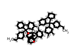 C=Cc1ccc(C2(c3cc(F)c(F)c(F)c3)c3ccccc3-c3ccc(N(c4ccc5c(c4)C(c4ccc(C=C)cc4)(c4cc(F)c(F)c(F)c4)c4ccccc4-5)c4cccc5c4C(C)(C)c4ccccc4-5)cc32)cc1